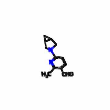 Cc1nc(N2CC3CC3C2)ccc1C=O